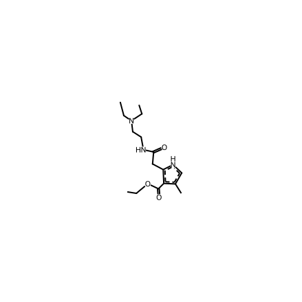 CCOC(=O)c1c(C)c[nH]c1CC(=O)NCCN(CC)CC